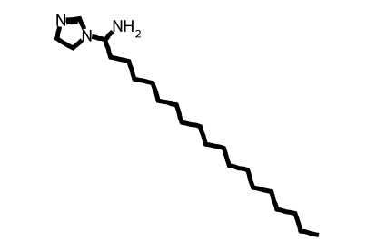 CCCCCCCCCCCCCCCCCCC(N)N1C=NCC1